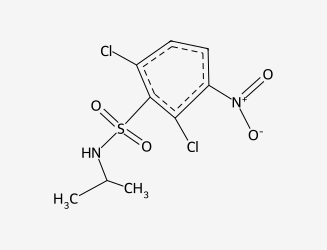 CC(C)NS(=O)(=O)c1c(Cl)ccc([N+](=O)[O-])c1Cl